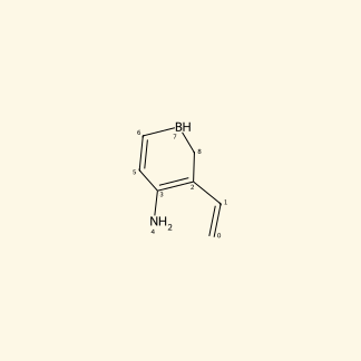 C=CC1=C(N)C=CBC1